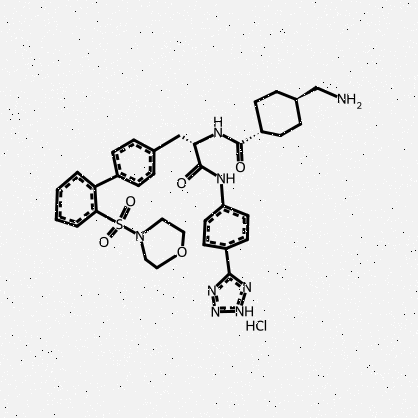 Cl.NC[C@H]1CC[C@H](C(=O)N[C@@H](Cc2ccc(-c3ccccc3S(=O)(=O)N3CCOCC3)cc2)C(=O)Nc2ccc(-c3nn[nH]n3)cc2)CC1